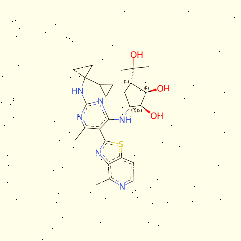 Cc1nc(NC2(C3CC3)CC2)nc(N[C@@H]2C[C@H](C(C)(C)O)[C@@H](O)[C@H]2O)c1-c1nc2c(C)nccc2s1